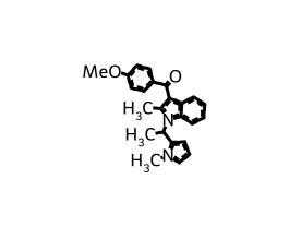 COc1ccc(C(=O)c2c(C)n(C(C)c3cccn3C)c3ccccc23)cc1